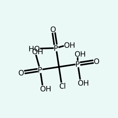 O=P(O)(O)C(Cl)(P(=O)(O)O)P(=O)(O)O